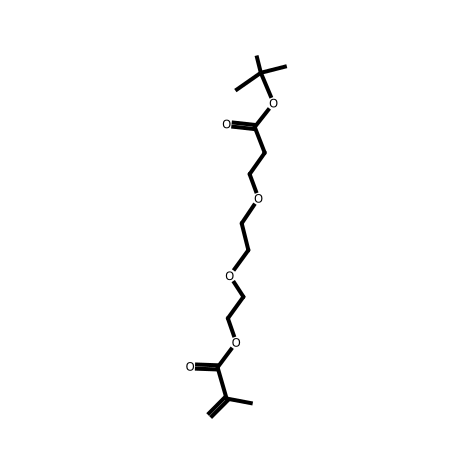 C=C(C)C(=O)OCCOCCOCCC(=O)OC(C)(C)C